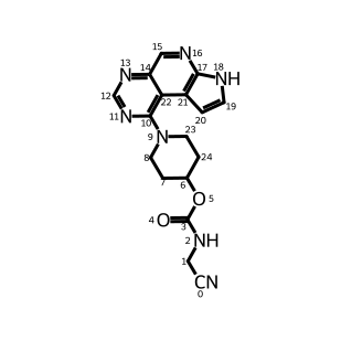 N#CCNC(=O)OC1CCN(c2ncnc3cnc4[nH]ccc4c23)CC1